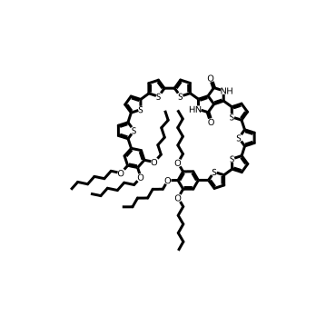 CCCCCCOc1cc(-c2ccc(-c3ccc(-c4ccc(-c5ccc(C6=C7C(=O)NC(c8ccc(-c9ccc(-c%10ccc(-c%11ccc(-c%12cc(OCCCCCC)c(OCCCCCC)c(OCCCCCC)c%12)s%11)s%10)s9)s8)=C7C(=O)N6)s5)s4)s3)s2)cc(OCCCCCC)c1OCCCCCC